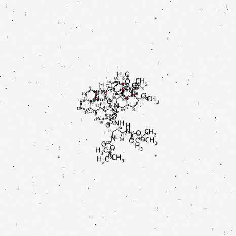 COc1ccc(CNc2ccc3cccc(-c4ccc(S(=O)(=O)N[C@H]5CN(C(=O)OC(C)(C)C)C[C@@H]5NC(=O)OC(C)(C)C)c(S(=O)(=O)N(Cc5ccc(OC)cc5)Cc5ccc(OC)cc5)c4-c4nnn(Cc5ccc(OC)cc5)n4)c3n2)cc1